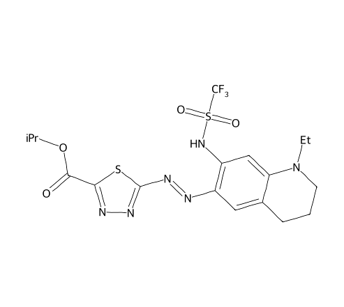 CCN1CCCc2cc(/N=N/c3nnc(C(=O)OC(C)C)s3)c(NS(=O)(=O)C(F)(F)F)cc21